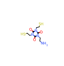 NCCn1c(=O)n(CCS)c(=O)n(CCS)c1=O